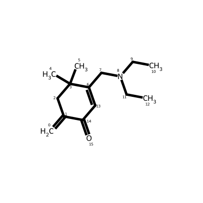 C=C1CC(C)(C)C(CN(CC)CC)=CC1=O